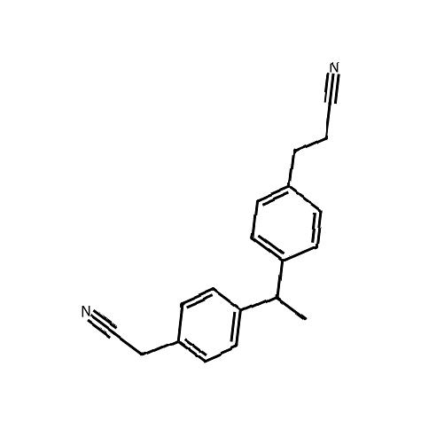 CC(c1ccc(CC#N)cc1)c1ccc(CCC#N)cc1